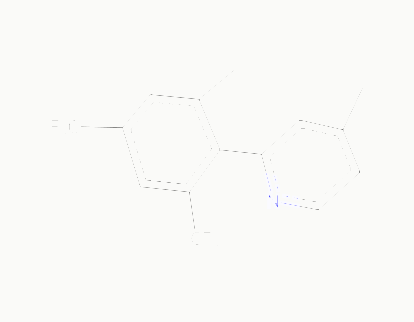 Cc1ccnc(-c2c(C)cc(C(F)(F)F)cc2C(F)(F)F)c1